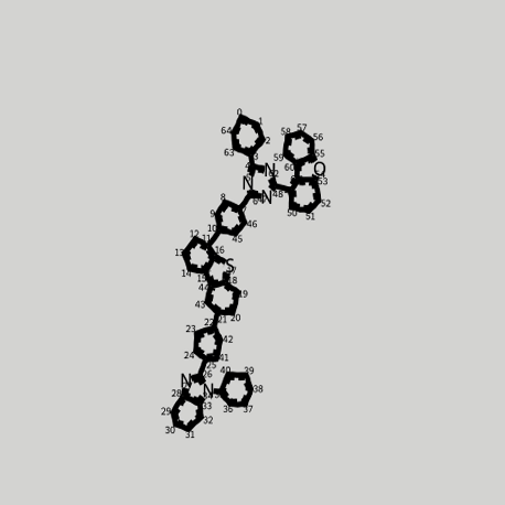 c1ccc(-c2nc(-c3ccc(-c4cccc5c4sc4ccc(-c6ccc(-c7nc8ccccc8n7-c7ccccc7)cc6)cc45)cc3)nc(-c3cccc4oc5ccccc5c34)n2)cc1